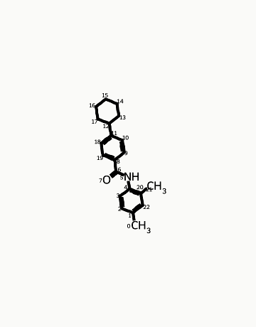 Cc1ccc(NC(=O)c2ccc(C3CCCCC3)cc2)c(C)c1